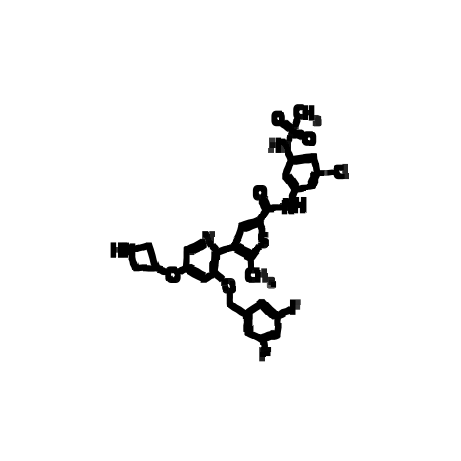 Cc1sc(C(=O)Nc2cc(Cl)cc(NS(C)(=O)=O)c2)cc1-c1ncc(OC2CNC2)cc1OCc1cc(F)cc(F)c1